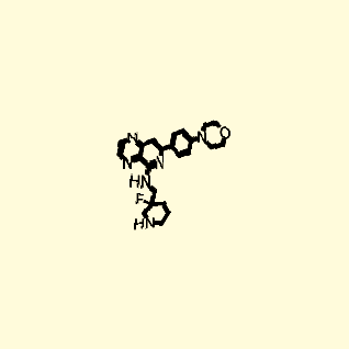 F[C@@]1(CNc2nc(-c3ccc(N4CCOCC4)cc3)cc3nccnc23)CCCNC1